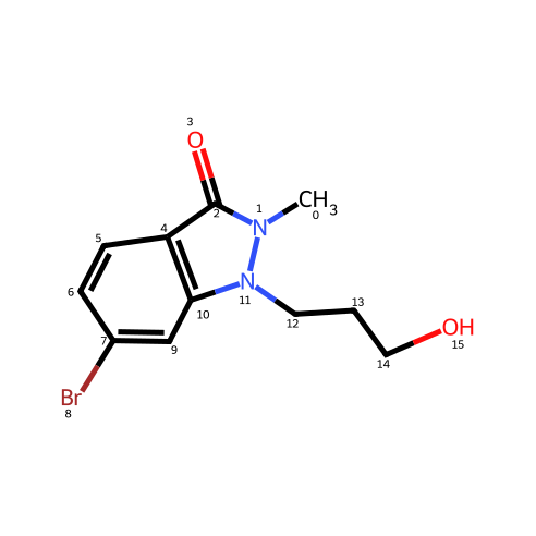 Cn1c(=O)c2ccc(Br)cc2n1CCCO